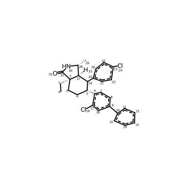 CC[C@@]12CC[C@@H](c3ccc(-c4ccccc4)cc3Cl)C(c3ccc(Cl)cc3)[C@@H]1[C@@H](C)NC2=O